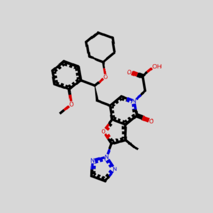 COc1ccccc1[C@H](Cc1cn(CC(=O)O)c(=O)c2c(C)c(-n3nccn3)oc12)OC1CCCCC1